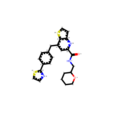 O=C(NCC1CCCCO1)c1cc(Cc2ccc(-c3nccs3)cc2)c2sccc2n1